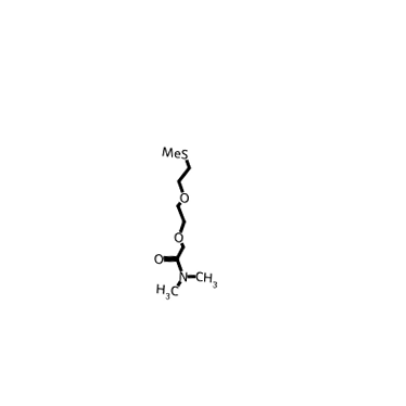 CSCCOCCOCC(=O)N(C)C